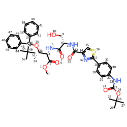 COC(=O)[C@@H](NC(=O)[C@H](CO)NC(=O)c1csc(-c2ccc(NC(=O)OC(C)(C)C)cc2)n1)[C@H](C)O[Si](c1ccccc1)(c1ccccc1)C(C)(C)C